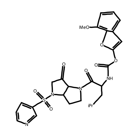 COc1cccc2cc(OC(=O)NC(CC(C)C)C(=O)N3CCC4C3C(=O)CN4S(=O)(=O)c3cccnc3)oc12